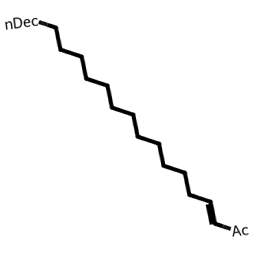 CCCCCCCCCCCCCCCCCCCCCCC=CC(C)=O